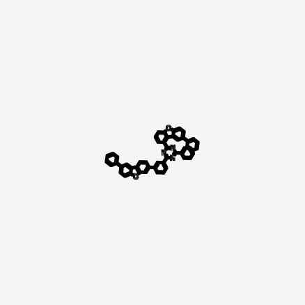 c1ccc(-c2ccc3oc4cc(-c5cccc(-c6nc(-c7ccccc7)nc(-c7cccc8oc9ccc(-c%10ccccc%10)cc9c78)n6)c5)ccc4c3c2)cc1